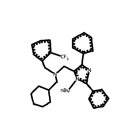 CCCCn1c(-c2ccccc2)nc(-c2ccccc2)c1CN(Cc1ccccc1C(F)(F)F)CC1CCCCC1